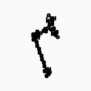 COc1cc2c(cc1OCc1cc(COc3cc4c(cc3OC)C(=O)NCc3ccccc3CC/C=N\4)cc(N(C)C(=O)OCc3ccc(NC(=O)[C@H](C)NC(=O)[C@@H](NC(=O)CCOCCOCCOCCOCCOCCOCCOCCOCCNC(=O)CCN4C(=O)C=CC4=O)C(C)C)cc3)c1)N=CC1Cc3ccccc3CN1C2=O